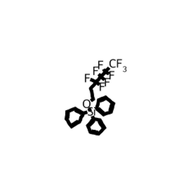 FC(F)(F)C(F)(F)C(F)(F)C(F)(F)CCO[Si](c1ccccc1)(c1ccccc1)c1ccccc1